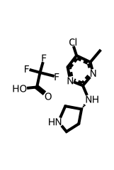 Cc1nc(N[C@@H]2CCNC2)ncc1Cl.O=C(O)C(F)(F)F